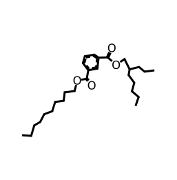 CCCCCCCCCCOC(=O)c1cccc(C(=O)OCC(CCC)CCCCC)c1